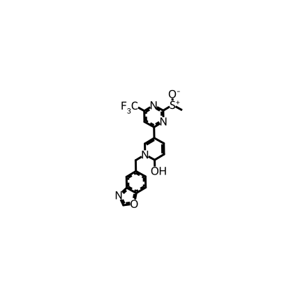 C[S+]([O-])c1nc(C2=CN(Cc3ccc4ocnc4c3)C(O)C=C2)cc(C(F)(F)F)n1